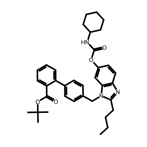 CCCCc1nc2ccc(OC(=O)NC3CCCCC3)cc2n1Cc1ccc(-c2ccccc2C(=O)OC(C)(C)C)cc1